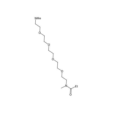 CCC(=O)N(C)CCOCCOCCOCCOCCNC